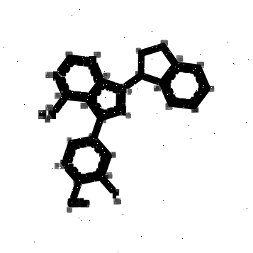 COc1ncc(-c2nn(C3CCc4ccccc43)c3ncnc(N)c23)cc1F